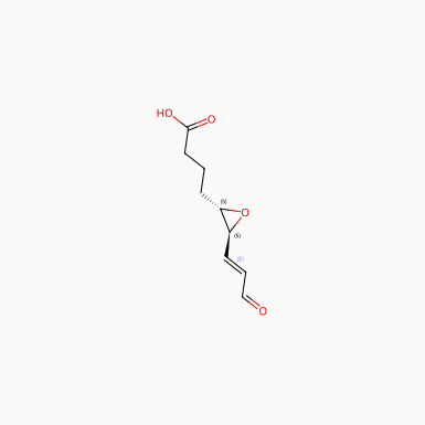 O=C/C=C/[C@@H]1O[C@H]1CCCC(=O)O